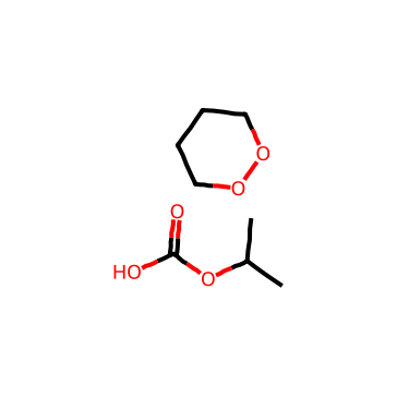 C1CCOOC1.CC(C)OC(=O)O